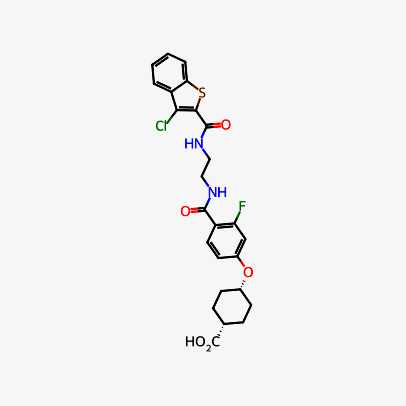 O=C(NCCNC(=O)c1sc2ccccc2c1Cl)c1ccc(O[C@H]2CC[C@@H](C(=O)O)CC2)cc1F